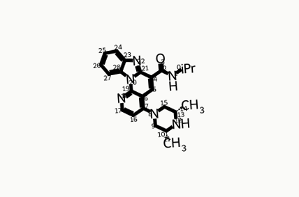 CC(C)NC(=O)c1cc2c(N3C[C@@H](C)N[C@@H](C)C3)ccnc2n2c1nc1ccccc12